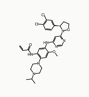 C=CC(=O)Nc1cc(Nc2cc(N3OCC[C@@H]3c3ccc(Cl)c(Cl)c3)ncn2)c(OC)cc1N1CCN(C(C)C)CC1